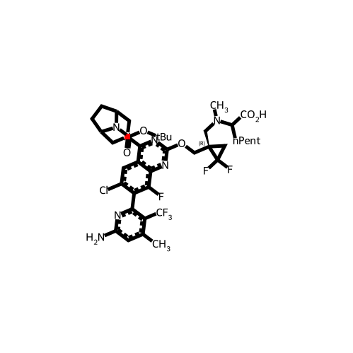 CCCCCC(C(=O)O)N(C)C[C@@]1(COc2nc(N3CC4CCC(C3)N4C(=O)OC(C)(C)C)c3cc(Cl)c(-c4nc(N)cc(C)c4C(F)(F)F)c(F)c3n2)CC1(F)F